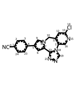 N#Cc1ccc(-c2cc3n(c2)Cc2cc(Cl)ncc2-n2cnnc2-3)cc1